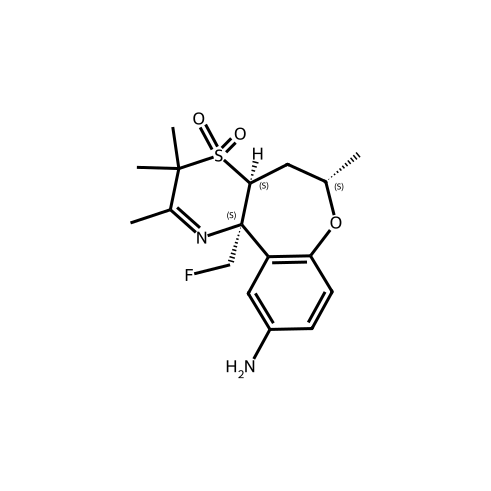 CC1=N[C@]2(CF)c3cc(N)ccc3O[C@@H](C)C[C@@H]2S(=O)(=O)C1(C)C